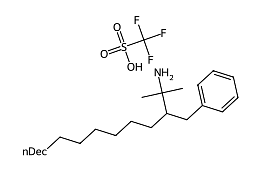 CCCCCCCCCCCCCCCCC(Cc1ccccc1)C(C)(C)N.O=S(=O)(O)C(F)(F)F